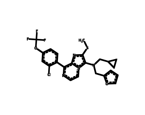 CSc1nc2c(-c3ccc(OC(F)(F)F)cc3Cl)nccn2c1N(Cc1ccco1)CC1CC1